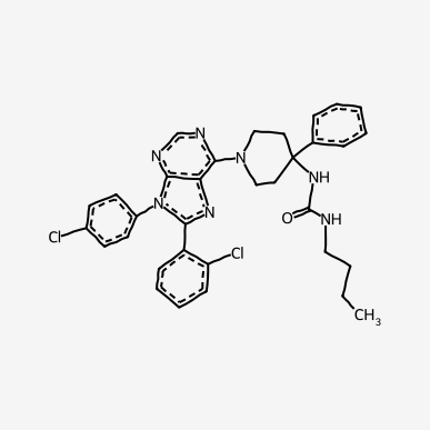 CCCCNC(=O)NC1(c2ccccc2)CCN(c2ncnc3c2nc(-c2ccccc2Cl)n3-c2ccc(Cl)cc2)CC1